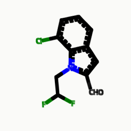 O=Cc1cc2cccc(Cl)c2n1CC(F)F